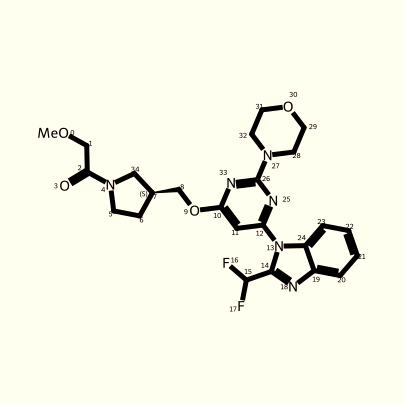 COCC(=O)N1CC[C@H](COc2cc(-n3c(C(F)F)nc4ccccc43)nc(N3CCOCC3)n2)C1